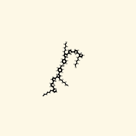 CCCCCCc1ccsc1-c1ccc(-c2ccc(-c3sc(-c4ccc(/C=N/c5ccc(-c6cc(CCCCCC)c(-c7ccc(-c8ccc(-c9sccc9CCCCCC)s8)s7)s6)cc5)cc4)cc3CCCCCC)s2)s1